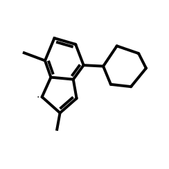 CC1=Cc2c(C3CCCCC3)ccc(C)c2[CH]1